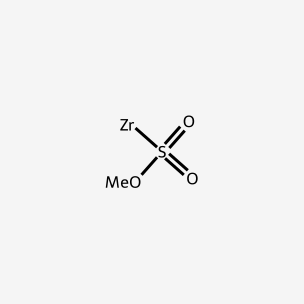 CO[S](=O)(=O)[Zr]